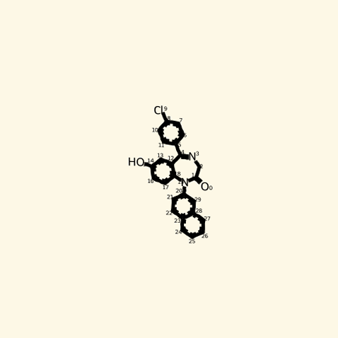 O=C1CN=C(c2ccc(Cl)cc2)c2cc(O)ccc2N1c1ccc2ccccc2c1